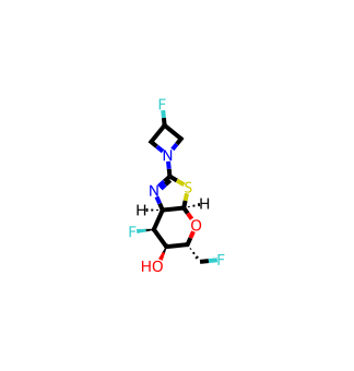 O[C@H]1[C@@H](F)[C@H]2N=C(N3CC(F)C3)S[C@H]2O[C@@H]1CF